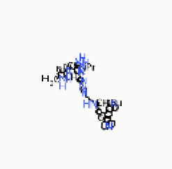 C=C1NC(C)=CC(CCC)=C1CNC(=C)c1cc(-c2ccc(N3CCN(CCCCNC(=C)c4ccc(C)c(C5=c6cc(CCCC)c7c(c6Cc6c5cc5c8c6CCCN8CCCC5)CCCN=7)c4)CC3)nc2)nc(NC(C)C)c1C=N